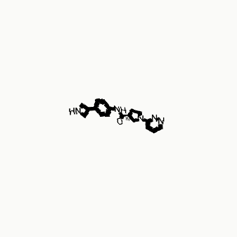 O=C(Nc1ccc(C2CNC2)cc1)[C@H]1CCN(c2cccnn2)C1